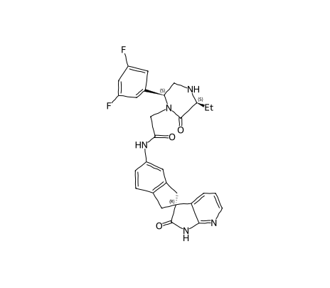 CC[C@@H]1NC[C@H](c2cc(F)cc(F)c2)N(CC(=O)Nc2ccc3c(c2)C[C@@]2(C3)C(=O)Nc3ncccc32)C1=O